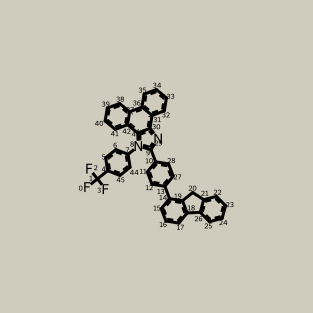 FC(F)(F)c1ccc(-n2c(-c3ccc(-c4cccc5c4Cc4ccccc4-5)cc3)nc3c4ccccc4c4ccccc4c32)cc1